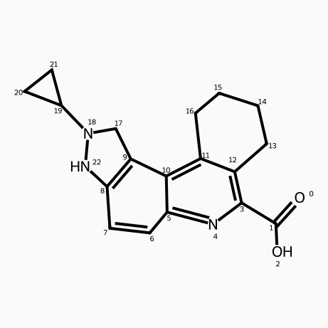 O=C(O)c1nc2ccc3c(c2c2c1CCCC2)CN(C1CC1)N3